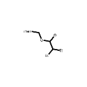 CCCC(C)COC([O])C(CC)CC